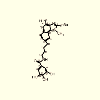 CCCCc1nc2c(N)nc3ccc(CCCCNC(=O)c4cc(O)c(O)c(O)c4)cc3c2n1C